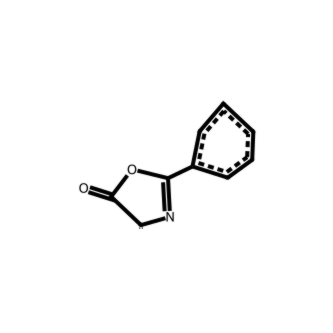 O=C1[C]N=C(c2ccccc2)O1